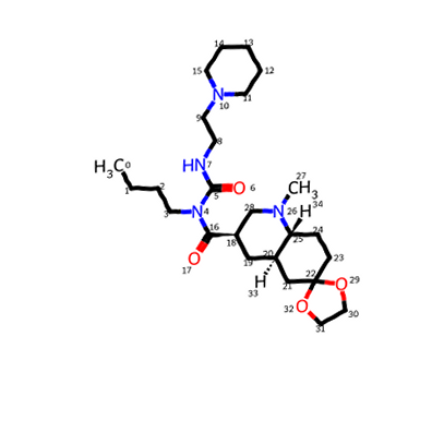 CCCCN(C(=O)NCCN1CCCCC1)C(=O)[C@@H]1C[C@@H]2CC3(CC[C@H]2N(C)C1)OCCO3